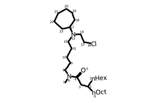 CCCCCCCCC(CCCCCC)CC(=O)N(C)CCCCCN(CCCl)C1CCCCCC1